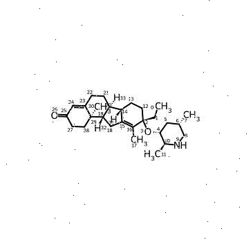 CC[C@]1(O[C@@H]2C[C@H](C)CN[C@H]2C)CC[C@@H]2C(=C1C)C[C@H]1[C@H]2CCC2=CC(=O)CC[C@@]21C